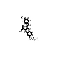 CCN(CC)c1nc2cc(C(=O)O)ccc2nc1-c1cc2ccc(Cl)cc2o1